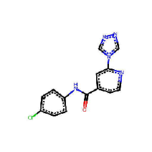 O=C(Nc1ccc(Cl)cc1)c1ccnc(-n2cnnc2)c1